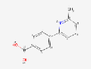 Cc1cccc(-c2ccc(B(O)O)cc2)n1